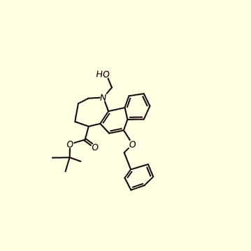 CC(C)(C)OC(=O)C1CCCN(CO)c2c1cc(OCc1ccccc1)c1ccccc21